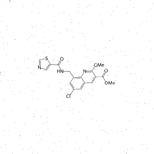 COC(=O)c1cc2cc(Cl)cc(CNC(=O)c3cncs3)c2nc1OC